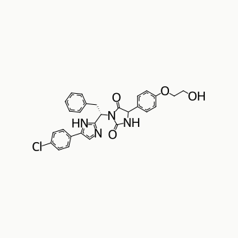 O=C1NC(c2ccc(OCCO)cc2)C(=O)N1[C@@H](Cc1ccccc1)c1ncc(-c2ccc(Cl)cc2)[nH]1